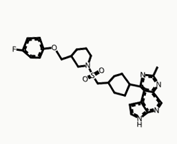 Cc1nc(C2CCC(CS(=O)(=O)N3CCCC(COc4ccc(F)cc4)C3)CC2)c2c(cnc3[nH]ccc32)n1